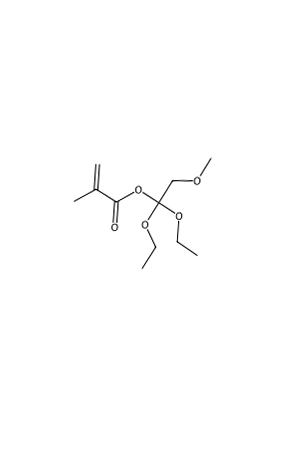 C=C(C)C(=O)OC(COC)(OCC)OCC